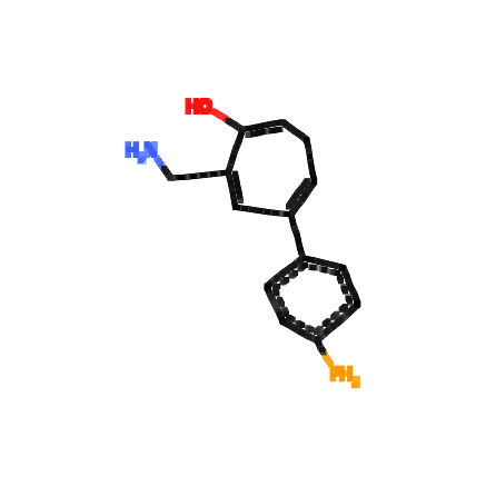 NCC1=CC(c2ccc(P)cc2)=CCC=C1O